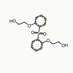 O=S(=O)(c1ccccc1OCCO)c1ccccc1OCCO